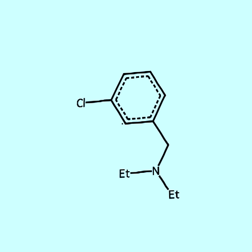 CCN(CC)Cc1[c]c(Cl)ccc1